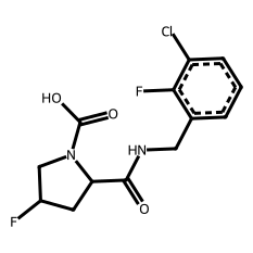 O=C(NCc1cccc(Cl)c1F)C1CC(F)CN1C(=O)O